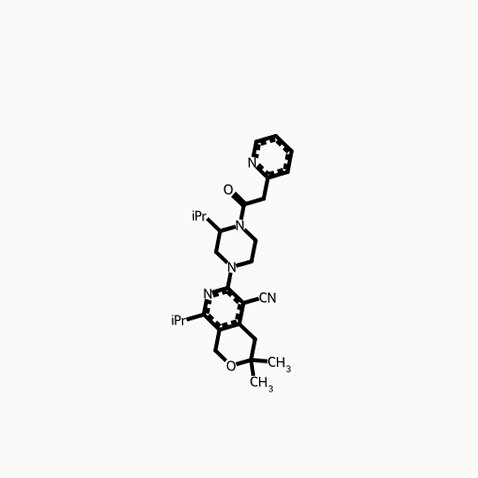 CC(C)c1nc(N2CCN(C(=O)Cc3ccccn3)C(C(C)C)C2)c(C#N)c2c1COC(C)(C)C2